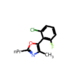 CCCc1nc(C)c(-c2c(F)cccc2Cl)o1